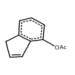 CC(=O)Oc1cccc2c1C=CC2